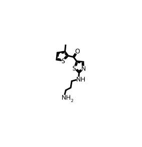 Cc1ccsc1C(=O)c1cnc(NCCCN)s1